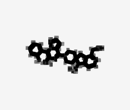 Cc1nc(N2CCC3(CC2)Cc2c(ccnc2CO)[C@H]3N)c2ccnn2c1-c1ccccc1F